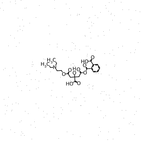 CCN(CC)CCOC(=O)CC(O)(CC(=O)OC(=O)c1ccccc1C(=O)O)C(=O)O